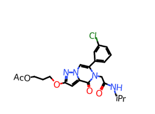 CC(=O)OCCCOc1cc2c(=O)n(CC(=O)NC(C)C)c(-c3cccc(Cl)c3)cn2n1